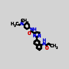 C=CC(=O)Nc1cccc2ccc(-c3nccc(C(=O)N[C@H]4CC[C@H](N(C)CC)CC4)n3)cc12